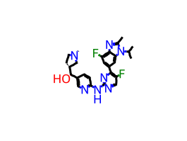 Cc1nc2c(F)cc(-c3nc(Nc4ccc([C@@H](O)[C@@H]5CCN(C)C5)cn4)ncc3F)cc2n1C(C)C